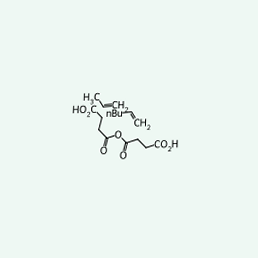 C=CC.C=CCCCC.O=C(O)CCC(=O)OC(=O)CCC(=O)O